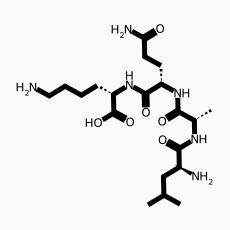 CC(C)C[C@H](N)C(=O)N[C@@H](C)C(=O)N[C@@H](CCC(N)=O)C(=O)N[C@@H](CCCCN)C(=O)O